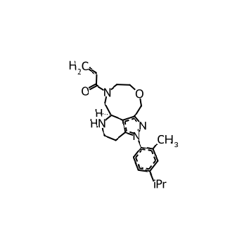 C=CC(=O)N1CCOCc2nn(-c3ccc(C(C)C)cc3C)c3c2[C@H](C1)NCC3